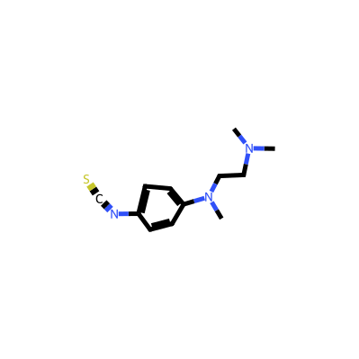 CN(C)CCN(C)c1ccc(N=C=S)cc1